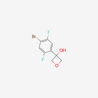 OC1(c2cc(F)c(Br)cc2F)COC1